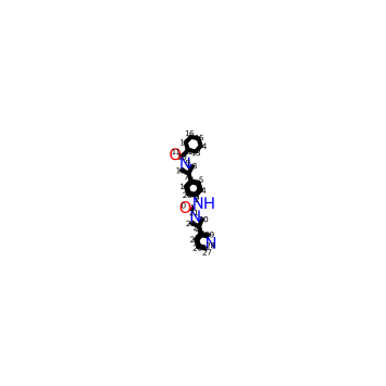 O=C(Nc1ccc(C2CN(C(=O)C3CCCCC3)C2)cc1)N1CC(c2cccnc2)C1